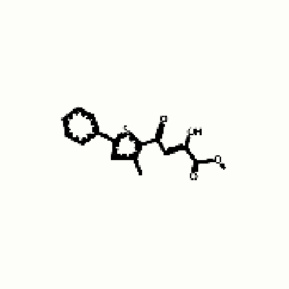 COC(=O)C(O)=CC(=O)c1sc(-c2ccccc2)cc1C